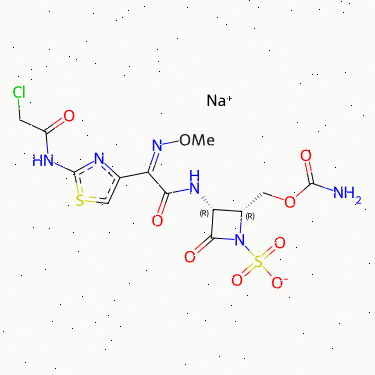 CON=C(C(=O)N[C@H]1C(=O)N(S(=O)(=O)[O-])[C@H]1COC(N)=O)c1csc(NC(=O)CCl)n1.[Na+]